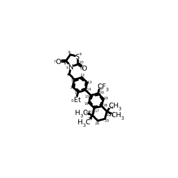 CCc1cc(CN2C(=O)CSC2=O)ccc1-c1cc2c(cc1C(F)(F)F)C(C)(C)CCC2(C)C